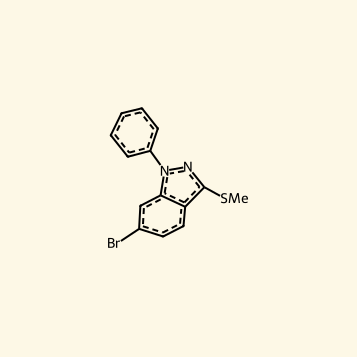 CSc1nn(-c2ccccc2)c2cc(Br)ccc12